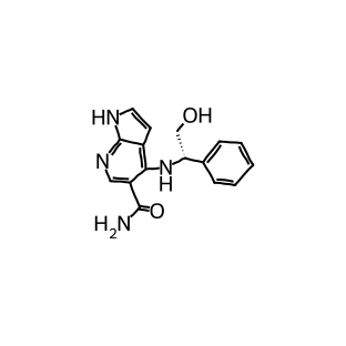 NC(=O)c1cnc2[nH]ccc2c1N[C@H](CO)c1ccccc1